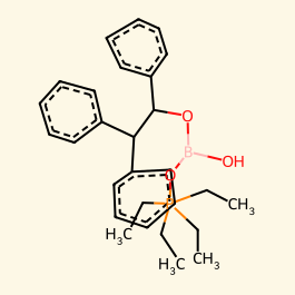 CCP(CC)(CC)(CC)OB(O)OC(c1ccccc1)C(c1ccccc1)c1ccccc1